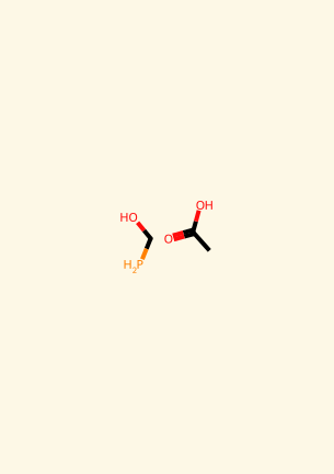 CC(=O)O.OCP